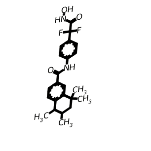 CC1CC(C)(C)c2cc(C(=O)Nc3ccc(C(F)(F)C(=O)NO)cc3)ccc2C1C